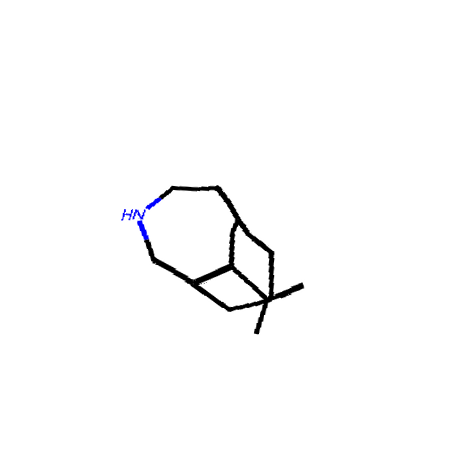 CC(C)C1C2CCCC1CNCC2